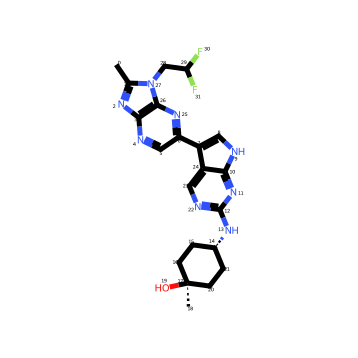 Cc1nc2ncc(-c3c[nH]c4nc(N[C@H]5CC[C@](C)(O)CC5)ncc34)nc2n1CC(F)F